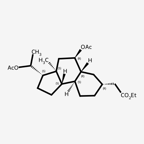 CCOC(=O)C[C@@H]1CC[C@@H]2[C@@H](C1)[C@H](OC(C)=O)C[C@]1(C)[C@@H](C(C)OC(C)=O)CC[C@@H]21